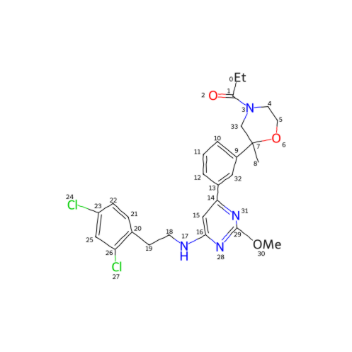 CCC(=O)N1CCOC(C)(c2cccc(-c3cc(NCCc4ccc(Cl)cc4Cl)nc(OC)n3)c2)C1